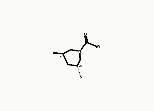 CC(C)C(=O)N1C[C@H](C)C[C@@H](C)C1